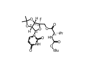 CC(C)[C@H](NC(=O)OC(C)(C)C)C(=O)OC[C@@]1(F)O[C@@H](n2ccc(=O)[nH]c2=O)[C@@H]2OC(C)(C)O[C@@H]21